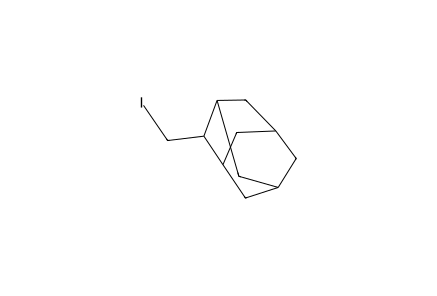 ICC1C2CC3CC(C2)CC1C3